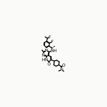 Cc1nc(N[C@H](C)c2cccc(C(C)F)c2F)c2cc(C3CCC(C(=O)N(C)C)CC3)c(=O)[nH]c2n1